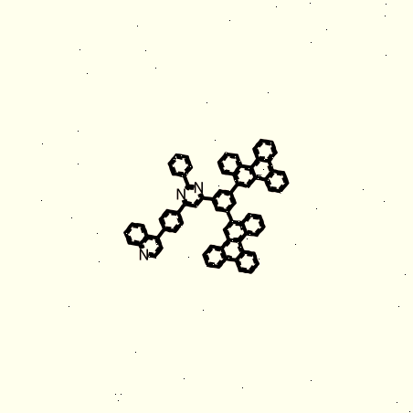 c1ccc(-c2nc(-c3ccc(-c4ccnc5ccccc45)cc3)cc(-c3cc(-c4cc5c6ccccc6c6ccccc6c5c5ccccc45)cc(-c4cc5c6ccccc6c6ccccc6c5c5ccccc45)c3)n2)cc1